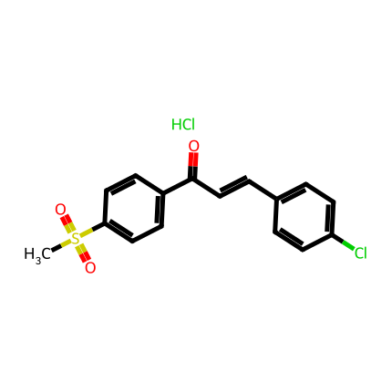 CS(=O)(=O)c1ccc(C(=O)C=Cc2ccc(Cl)cc2)cc1.Cl